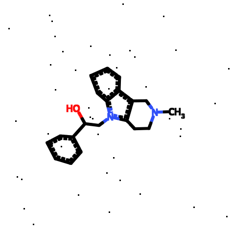 CN1CCc2c(c3ccccc3n2CC(O)c2ccccc2)C1